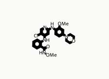 CONC(=O)c1ccccc1Nc1cc(Nc2ccc(N3CCOCC3)cc2OC)ncc1Cl